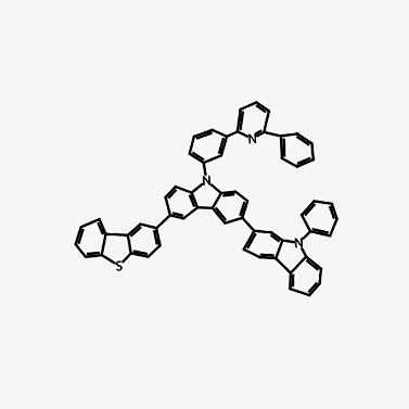 c1ccc(-c2cccc(-c3cccc(-n4c5ccc(-c6ccc7sc8ccccc8c7c6)cc5c5cc(-c6ccc7c8ccccc8n(-c8ccccc8)c7c6)ccc54)c3)n2)cc1